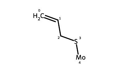 C=CC[S][Mo]